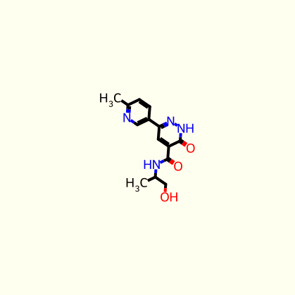 Cc1ccc(-c2cc(C(=O)NC(C)CO)c(=O)[nH]n2)cn1